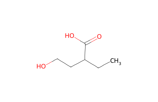 CCC(CCO)C(=O)O